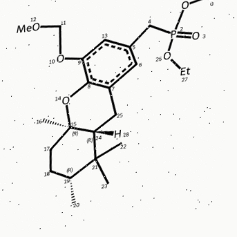 CCOP(=O)(Cc1cc2c(c(OCOC)c1)O[C@]1(C)CC[C@@H](C)C(C)(C)[C@H]1C2)OCC